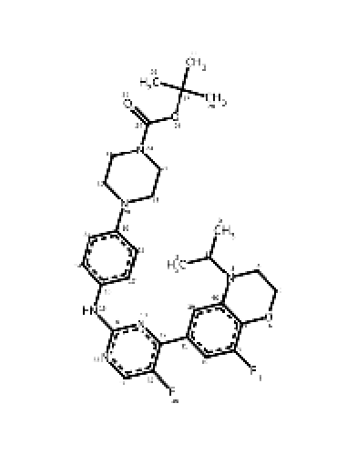 CC(C)N1CCOc2c(F)cc(-c3nc(Nc4ccc(N5CCN(C(=O)OC(C)(C)C)CC5)cc4)ncc3F)cc21